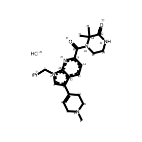 CC(C)Cn1cc(C2=CCN(C)CC2)c2ccc(C(=O)N3CCNC(=O)C3(C)C)nc21.Cl